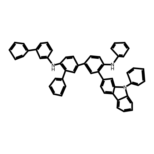 c1ccc(Nc2ccc(-c3ccc(Nc4cccc(-c5ccccc5)c4)c(-c4ccccc4)c3)cc2-c2ccc3c4ccccc4n(-c4ccccc4)c3c2)cc1